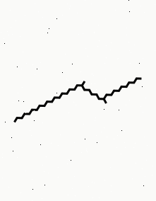 CCCCCCCCCCCCCCCCCCC(C)CCCCCC(C)CCCCCCCCCC